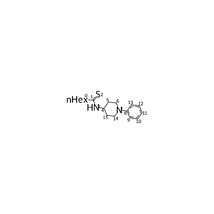 CCCCCCC(=S)NC1CCN(c2ccccc2)CC1